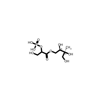 C[C@](O)(CO)[C@H](O)COC(=O)C(CO)OP(=O)(O)O